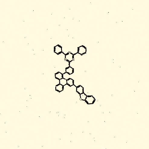 c1ccc(-c2nc(-c3ccccc3)nc(-c3cccc(-c4cccc5c6ccccc6c6cc(-c7ccc8c(c7)oc7ccccc78)ccc6c45)c3)n2)cc1